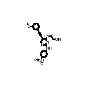 COc1cccc(C#Cc2cnc(Nc3ccc([SH](=N)=O)cc3)nc2N[C@H](C)CO)c1